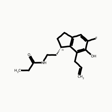 C=CCc1c(O)c(F)cc2c1[C@H](CCNC(=O)CC)CC2